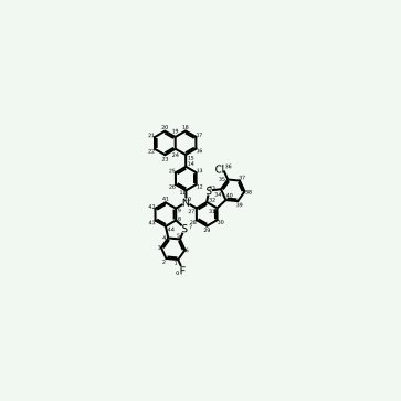 Fc1ccc2c(c1)sc1c(N(c3ccc(-c4cccc5ccccc45)cc3)c3cccc4c3sc3c(Cl)cccc34)cccc12